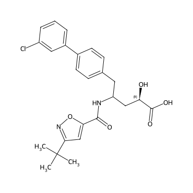 CC(C)(C)c1cc(C(=O)NC(Cc2ccc(-c3cccc(Cl)c3)cc2)C[C@@H](O)C(=O)O)on1